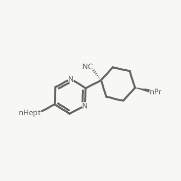 CCCCCCCc1cnc([C@]2(C#N)CC[C@H](CCC)CC2)nc1